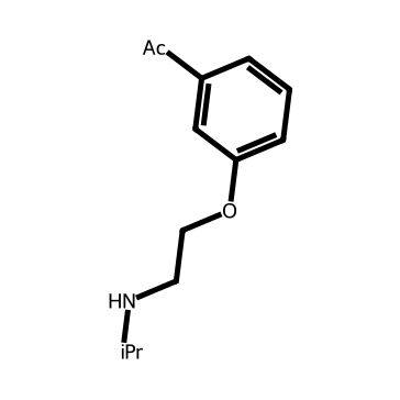 CC(=O)c1cccc(OCCNC(C)C)c1